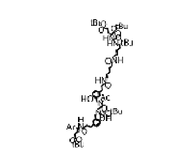 CC(=O)CN(CCN(Cc1cc(CCC(=O)N[C@@H](CCC(=O)OC(C)(C)C)C(C)=O)ccc1O)OC(=O)OC(C)(C)C)Cc1cc(CCC(=O)NCCCCCC(=O)NCCCC[C@H](NC(=O)N[C@@H](CCC(=O)OC(C)(C)C)C(=O)OC(C)(C)C)C(C)(C)C)ccc1O